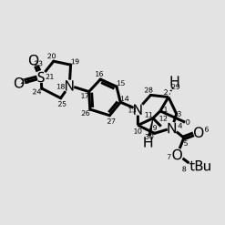 CC1[C@@H]2CN(C(=O)OC(C)(C)C)CC([C@H]1C)N(c1ccc(N3CCS(=O)(=O)CC3)cc1)C2